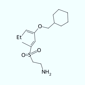 CC/C=C(\C=C(/C)S(=O)(=O)CCN)OCC1CCCCC1